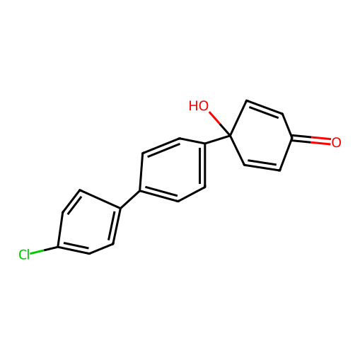 O=C1C=CC(O)(c2ccc(-c3ccc(Cl)cc3)cc2)C=C1